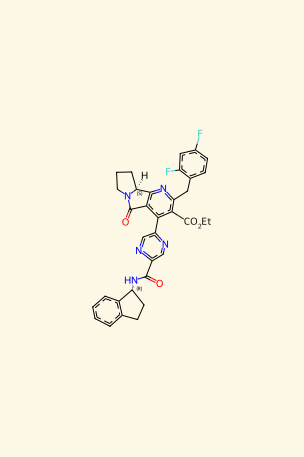 CCOC(=O)c1c(Cc2ccc(F)cc2F)nc2c(c1-c1cnc(C(=O)N[C@@H]3CCc4ccccc43)cn1)C(=O)N1CCC[C@@H]21